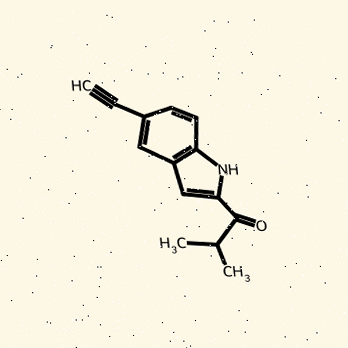 C#Cc1ccc2[nH]c(C(=O)C(C)C)cc2c1